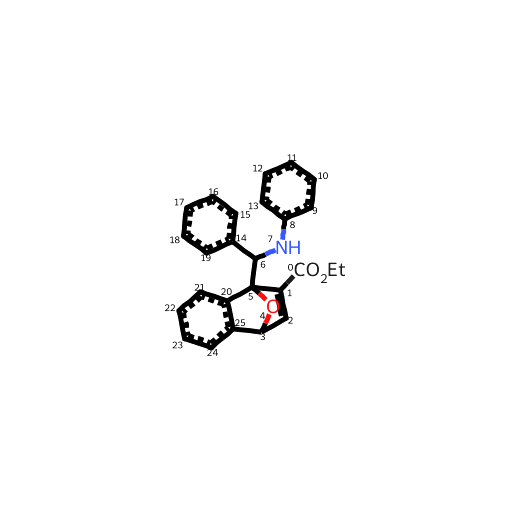 CCOC(=O)C1=CC2OC1(C(Nc1ccccc1)c1ccccc1)c1ccccc12